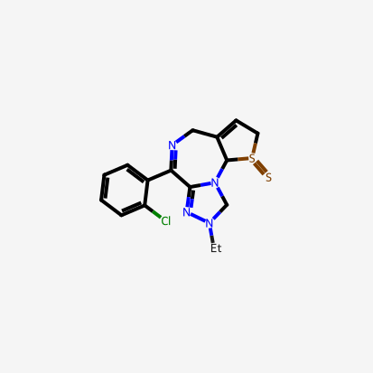 CCN1CN2C(=N1)C(c1ccccc1Cl)=NCC1=CCS(=S)C12